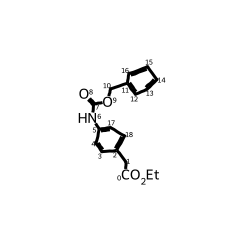 CCOC(=O)Cc1ccc(NC(=O)OCc2ccccc2)cc1